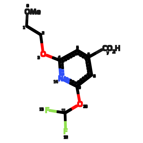 COCCOc1cc(C(=O)O)cc(OC(F)F)n1